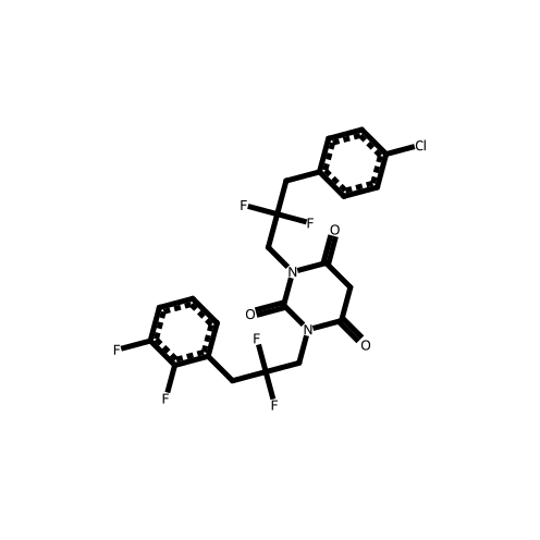 O=C1CC(=O)N(CC(F)(F)Cc2cccc(F)c2F)C(=O)N1CC(F)(F)Cc1ccc(Cl)cc1